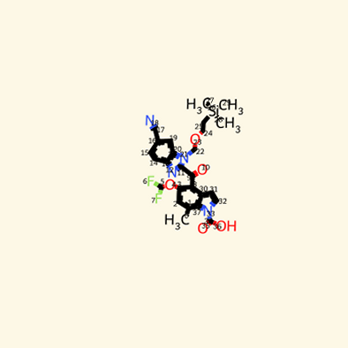 Cc1cc(OC(F)F)c(C(=O)c2nc3ccc(C#N)cc3n2COCC[Si](C)(C)C)c2ccn(C(=O)O)c12